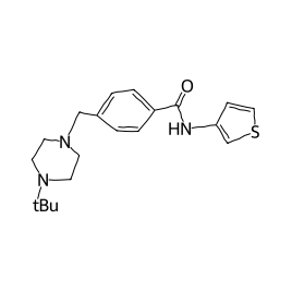 CC(C)(C)N1CCN(Cc2ccc(C(=O)Nc3ccsc3)cc2)CC1